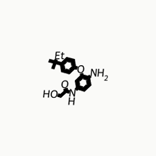 CCC(C)(C)c1ccc(Oc2cc(NC(=O)CO)ccc2N)cc1